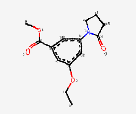 CCOc1cc(C(=O)OC)cc(N2CCCC2=O)c1